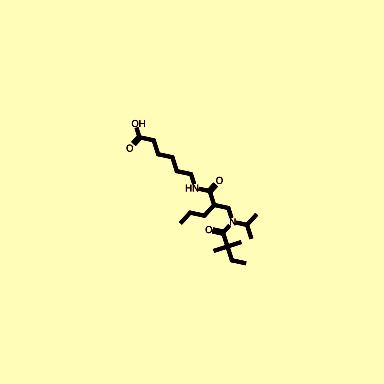 CCCC(CN(C(=O)C(C)(C)CC)C(C)C)C(=O)NCCCCCC(=O)O